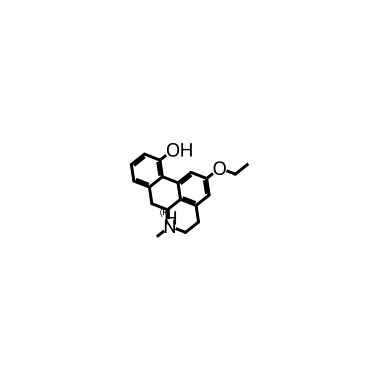 CCOc1cc2c3c(c1)-c1c(O)cccc1C[C@H]3N(C)CC2